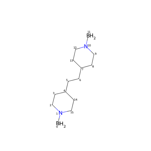 BN1CCC(CCC2CCN(B)CC2)CC1